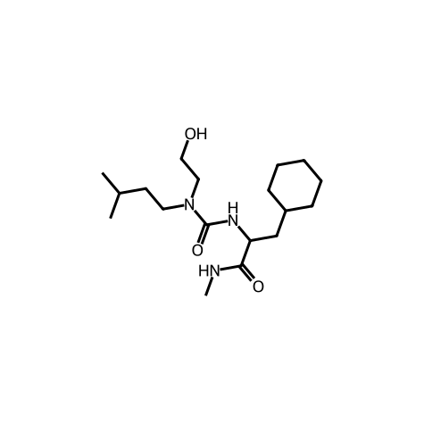 CNC(=O)C(CC1CCCCC1)NC(=O)N(CCO)CCC(C)C